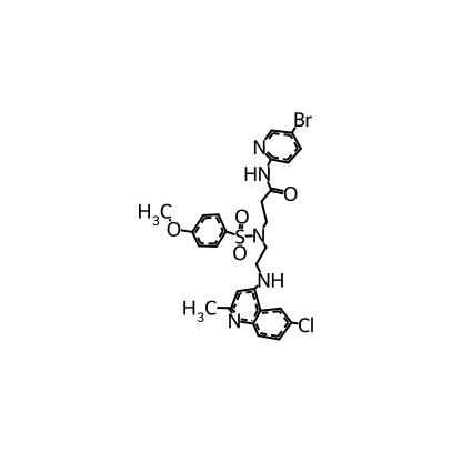 COc1ccc(S(=O)(=O)N(CCNc2cc(C)nc3ccc(Cl)cc23)CCC(=O)Nc2ccc(Br)cn2)cc1